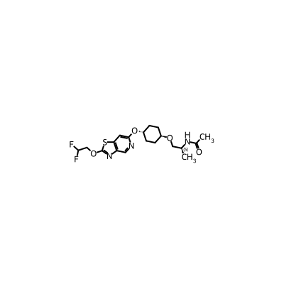 CC(=O)N[C@@H](C)CO[C@H]1CC[C@H](Oc2cc3sc(OCC(F)F)nc3cn2)CC1